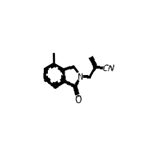 C=C(C#N)CN1Cc2c(C)cccc2C1=O